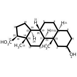 C[C@]12CC(O)CC[C@@H]1CC[C@@H]1[C@@H]2CC[C@]2(C)[C@@H](C(=O)O)CC[C@@H]12